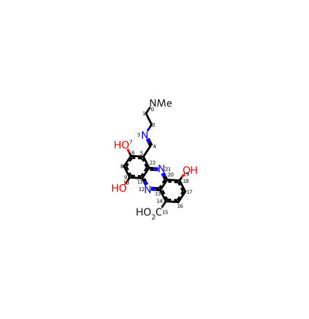 CNCCN=Cc1c(O)cc(O)c2nc3c(C(=O)O)ccc(O)c3nc12